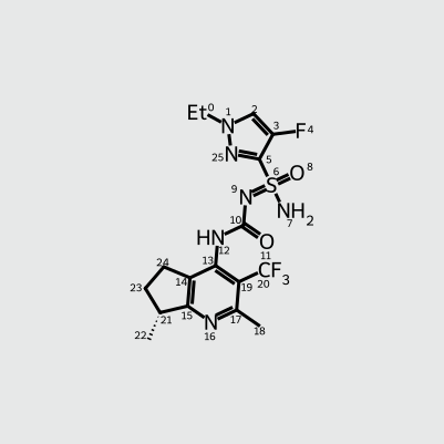 CCn1cc(F)c(S(N)(=O)=NC(=O)Nc2c3c(nc(C)c2C(F)(F)F)[C@H](C)CC3)n1